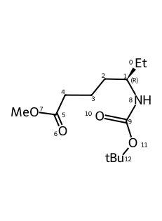 CC[C@H](CCCC(=O)OC)NC(=O)OC(C)(C)C